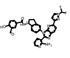 Nc1ncccc1-c1nc2ccc(-c3ccn(C(F)F)n3)nc2n1-c1ccc2c(c1)CC[C@@H]2NC(=O)c1ccc(O)c(C=O)c1